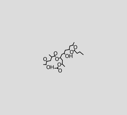 CCCC1OC(C)CC(CC(O)CC(CC(C)OC(C)=O)OC(=O)C(C)CC(=O)C(C)O)O1